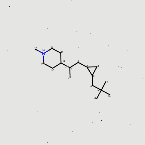 CC(CC1CC1CC(C)(C)C)C1CCN(C)CC1